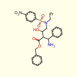 CC(C)CN(CC(O)C(C(=O)OCc1ccccc1)C(N)c1ccccc1)S(=O)(=O)c1ccc([N+](=O)[O-])cc1